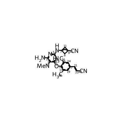 CNc1c(N)nc(NC23CC(C#N)(C2)C3)nc1Oc1c(C)cc(/C=C/C#N)cc1C